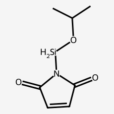 CC(C)O[SiH2]N1C(=O)C=CC1=O